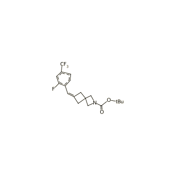 CC(C)(C)OC(=O)N1CC2(CC(=Cc3ccc(C(F)(F)F)cc3F)C2)C1